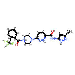 Cc1cc(NC(=O)c2ccc(N3CCN(C(=O)c4ccccc4C(F)(F)F)CC3)nn2)n[nH]1